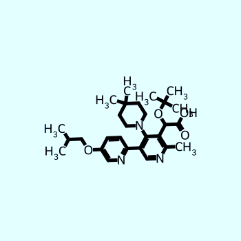 Cc1ncc(-c2ccc(OCC(C)C)cn2)c(N2CCC(C)(C)CC2)c1C(OC(C)(C)C)C(=O)O